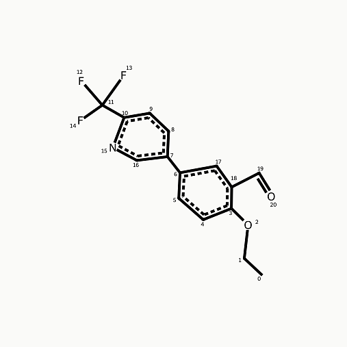 CCOc1ccc(-c2ccc(C(F)(F)F)nc2)cc1C=O